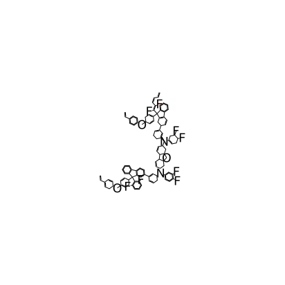 C=C/C=C\C(F)=C(/F)C1(C2=CCC(Oc3ccc(C=C)cc3)C=C2)C2=C(C=CC(C3=CCCC(N(C4=CCC(F)C(F)C4)C4C=CC5C(C4)OC4CC(N(c6ccc(F)c(F)c6)C6C=C(c7ccc8c(c7)C(c7c(F)cccc7F)(C7C=CC(OC9C=CC(C=C)=CC9)=CC7)c7ccccc7-8)C=CC6)C=CC45)=C3)C2)c2ccccc21